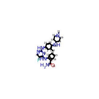 Cc1cc(Nc2ncc(F)c(NC3C4C=CC(C4)C3C(N)=O)n2)ccc1NC1CCN(C)CC1